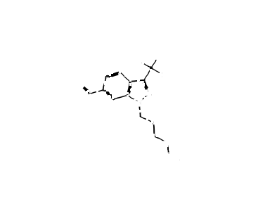 COCCCn1nc(C(F)(F)F)c2ccc(C=O)cc21